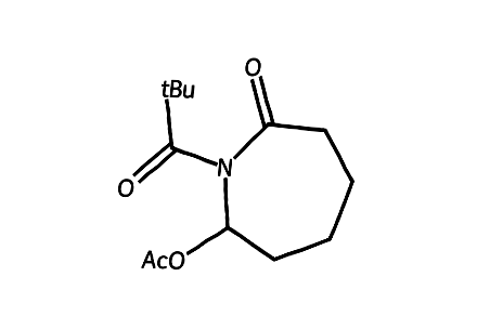 CC(=O)OC1CCCCC(=O)N1C(=O)C(C)(C)C